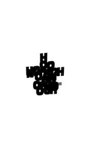 O=C(O)C(O)C(O)C(=O)O.O=C([O-])C(O)C(O)C(=O)[O-].[K+].[K+]